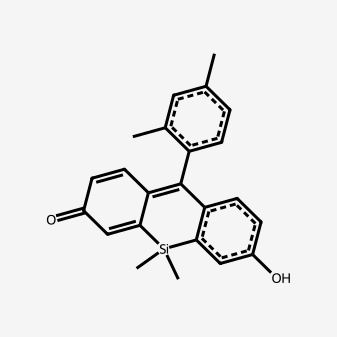 Cc1ccc(C2=C3C=CC(=O)C=C3[Si](C)(C)c3cc(O)ccc32)c(C)c1